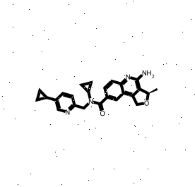 C[C@H]1OCc2c1c(N)nc1ccc(C(=O)N(Cc3ccc(C4CC4)cn3)C3CC3)cc21